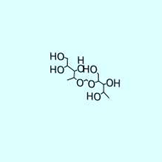 CC(O)C(O)C(CO)OCOC(C)C(O)C(O)CO